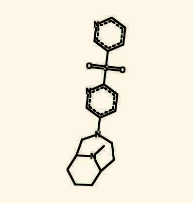 CN1C2CCCC1CN(c1ccc(S(=O)(=O)c3cccnc3)nc1)CC2